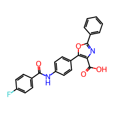 O=C(Nc1ccc(-c2oc(-c3ccccc3)nc2C(=O)O)cc1)c1ccc(F)cc1